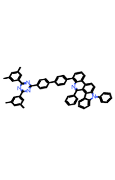 Cc1cc(C)cc(-c2nc(-c3ccc(-c4ccc(-c5cccc6c5nc(-c5ccccc5)c5c6ccc6c5c5ccccc5n6-c5ccccc5)cc4)cc3)nc(-c3cc(C)cc(C)c3)n2)c1